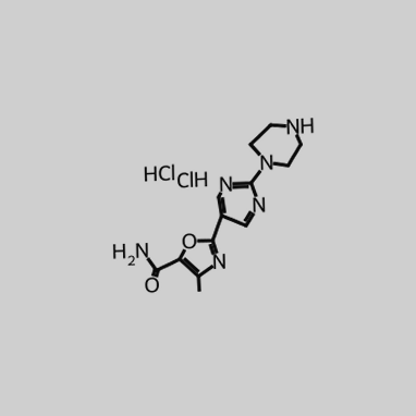 Cc1nc(-c2cnc(N3CCNCC3)nc2)oc1C(N)=O.Cl.Cl